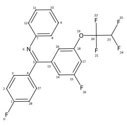 Fc1ccc(/C(=N/c2ccccc2)c2cc(F)cc(OC(F)(F)C(F)F)c2)cc1